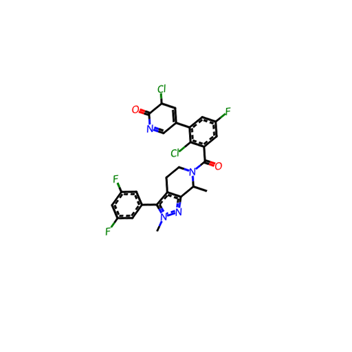 CC1c2nn(C)c(-c3cc(F)cc(F)c3)c2CCN1C(=O)c1cc(F)cc(C2=CC(Cl)C(=O)N=C2)c1Cl